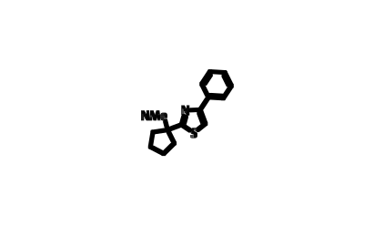 CNC1(c2nc(-c3ccccc3)cs2)CCCC1